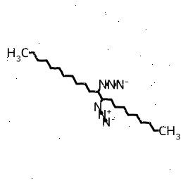 CCCCCCCCCCCC(N=[N+]=[N-])C(CCCCCCCCC)N=[N+]=[N-]